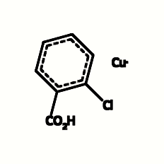 O=C(O)c1ccccc1Cl.[Cu]